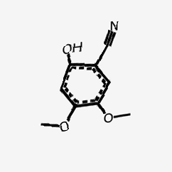 COc1cc(O)c(C#N)cc1OC